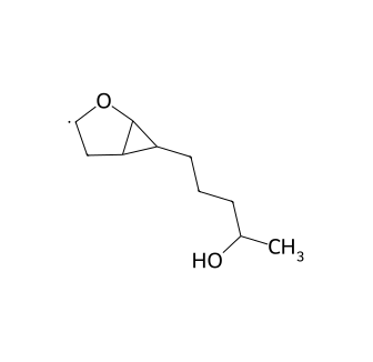 CC(O)CCCC1C2C[CH]OC21